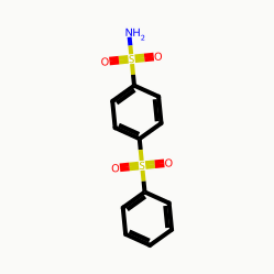 NS(=O)(=O)c1ccc(S(=O)(=O)c2ccccc2)cc1